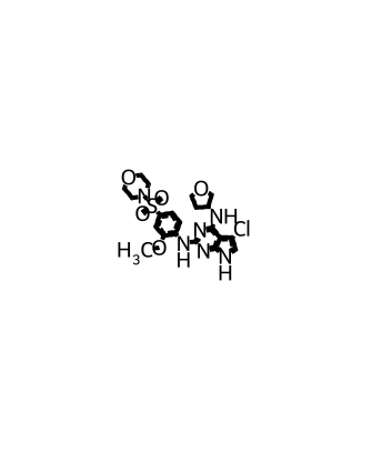 COc1cc(S(=O)(=O)N2CCOCC2)ccc1Nc1nc(N[C@@H]2CCOC2)c2c(Cl)c[nH]c2n1